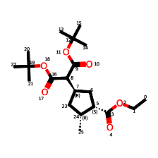 CCOC(=O)[C@H]1C[C@H](C(C(=O)OC(C)(C)C)C(=O)OC(C)(C)C)C[C@H]1C